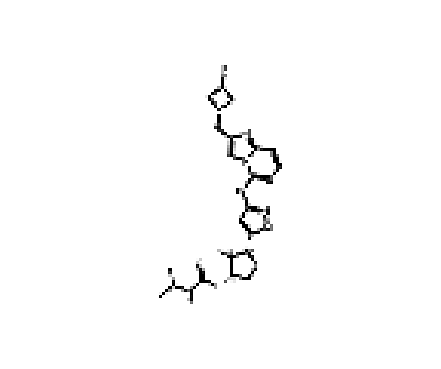 CC(C)NC(=O)O[C@H]1CO[C@@H](c2cc(Nc3nccc4nc(CN5CC(F)C5)cn34)n[nH]2)[C@@H]1F